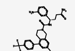 NC(=O)CC[C@H](NC(=O)N1CCc2c(cc(N)cc2-c2ccc(C(F)(F)F)cc2)C1)c1cccc(N)c1